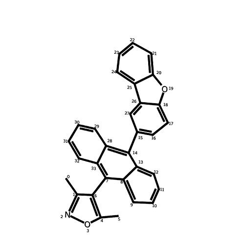 Cc1noc(C)c1-c1c2ccccc2c(-c2ccc3oc4ccccc4c3c2)c2ccccc12